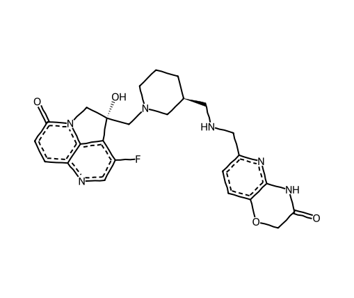 O=C1COc2ccc(CNC[C@@H]3CCCN(C[C@]4(O)Cn5c(=O)ccc6ncc(F)c4c65)C3)nc2N1